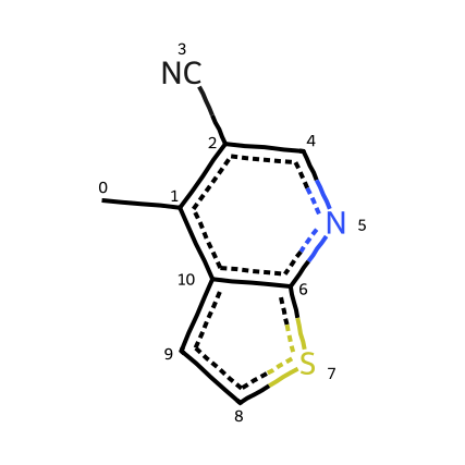 Cc1c(C#N)cnc2sccc12